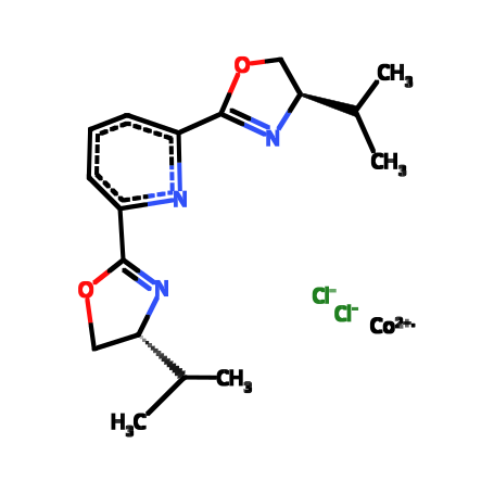 CC(C)[C@@H]1COC(c2cccc(C3=N[C@H](C(C)C)CO3)n2)=N1.[Cl-].[Cl-].[Co+2]